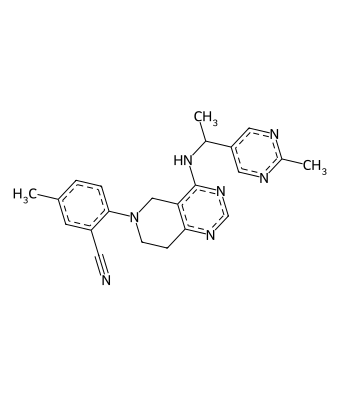 Cc1ccc(N2CCc3ncnc(NC(C)c4cnc(C)nc4)c3C2)c(C#N)c1